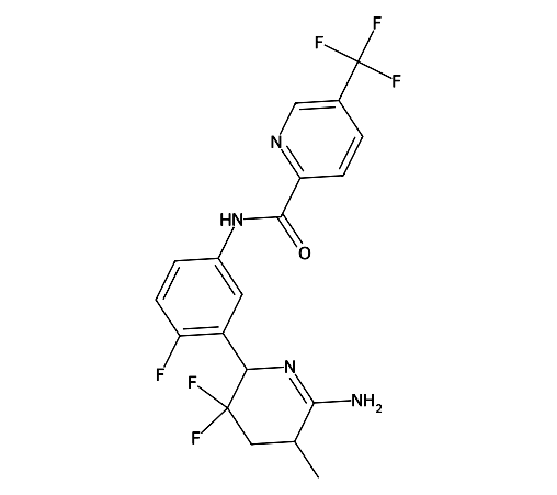 CC1CC(F)(F)C(c2cc(NC(=O)c3ccc(C(F)(F)F)cn3)ccc2F)N=C1N